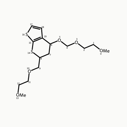 COCCOCOC1CC(COCCOC)Sc2sccc21